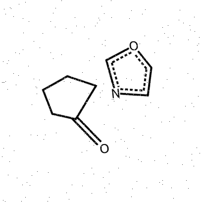 O=C1CCCC1.c1cocn1